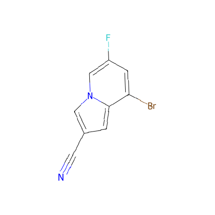 N#Cc1cc2c(Br)cc(F)cn2c1